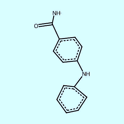 [NH]C(=O)c1ccc(Nc2ccccc2)cc1